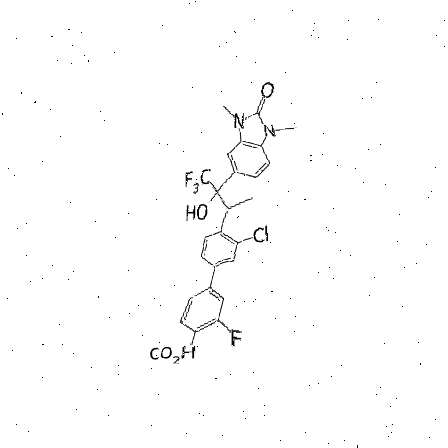 CC(c1ccc(-c2ccc(C(=O)O)c(F)c2)cc1Cl)C(O)(c1ccc2c(c1)n(C)c(=O)n2C)C(F)(F)F